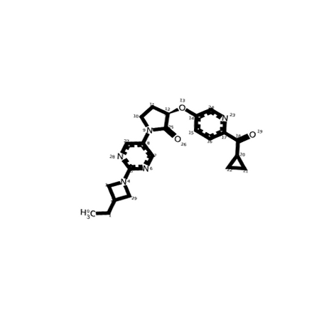 CCC1CN(c2ncc(N3CC[C@@H](Oc4ccc(C(=O)C5CC5)nc4)C3=O)cn2)C1